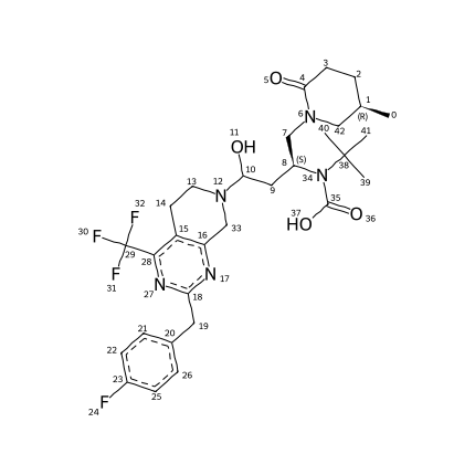 C[C@@H]1CCC(=O)N(C[C@H](CC(O)N2CCc3c(nc(Cc4ccc(F)cc4)nc3C(F)(F)F)C2)N(C(=O)O)C(C)(C)C)C1